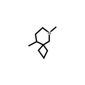 CC1CCN(C)CC12CCC2